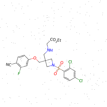 CCOC(=O)CNCC1(COc2ccc(C#N)c(F)c2)CN(S(=O)(=O)c2ccc(Cl)cc2Cl)C1